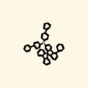 c1ccc(-c2ccc(N(c3ccc(-c4ccccc4)cc3)c3ccc4c(c3)C3(c5ccccc5-c5ccccc53)c3cccc(-c5ccccc5)c3-4)cc2)cc1